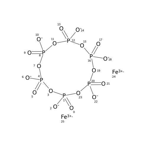 O=P1([O-])OP(=O)([O-])OP(=O)([O-])OP(=O)([O-])OP(=O)([O-])OP(=O)([O-])O1.[Fe+3].[Fe+3]